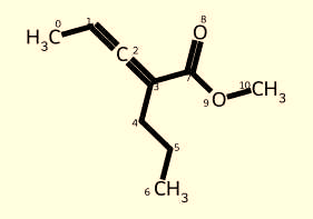 CC=C=C(CCC)C(=O)OC